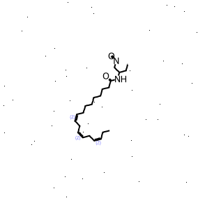 CC/C=C\C/C=C\C/C=C\CCCCCCCC(=O)NC(CC)CN=O